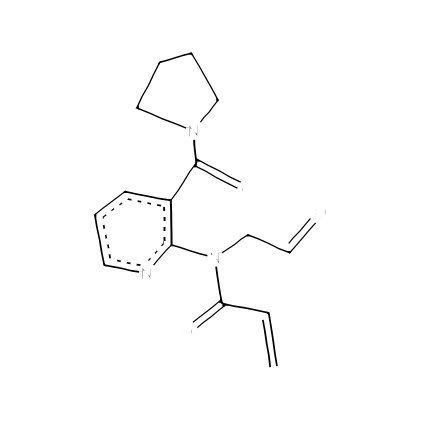 C=CC(=O)N(C[C]=O)c1ncccc1C(=O)N1CCCC1